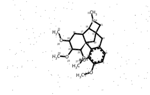 COc1ccc2c(c1O)[C@@]13CC4(C2)CN(C)C4C1CC(OC)C(OC)C3OC